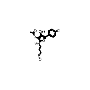 CC(=O)Oc1c(NCCCP=O)sc(-c2ccc(Cl)cc2)c1O